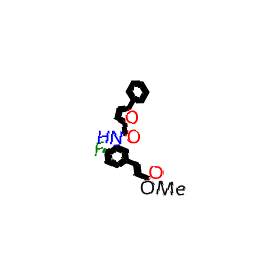 COC(=O)/C=C/c1ccc(F)c(NC(=O)c2ccc(-c3ccccc3)o2)c1